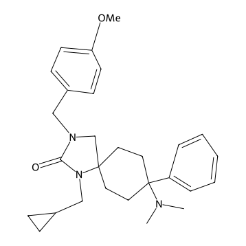 COc1ccc(CN2CC3(CCC(c4ccccc4)(N(C)C)CC3)N(CC3CC3)C2=O)cc1